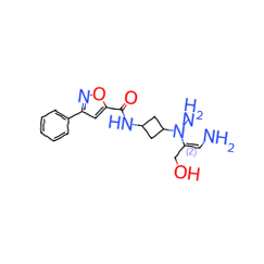 N/C=C(/CO)N(N)C1CC(NC(=O)c2cc(-c3ccccc3)no2)C1